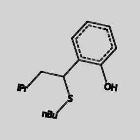 CCCCSC(CC(C)C)c1ccccc1O